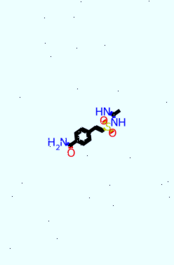 CC(=N)NS(=O)(=O)C=Cc1ccc(C(N)=O)cc1